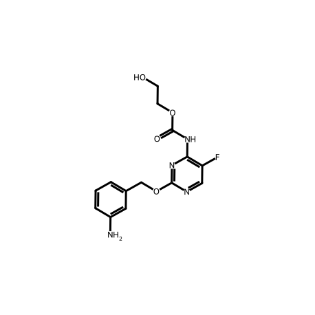 Nc1cccc(COc2ncc(F)c(NC(=O)OCCO)n2)c1